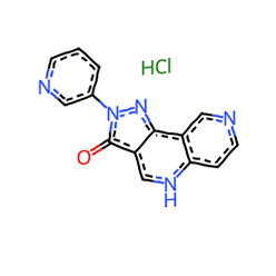 Cl.O=c1c2c[nH]c3ccncc3c-2nn1-c1cccnc1